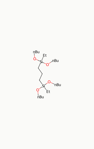 CCCCO[Si](CC)(CCC[Si](CC)(OCCCC)OCCCC)OCCCC